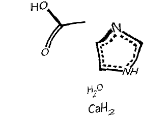 CC(=O)O.O.[CaH2].c1c[nH]cn1